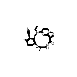 CCN1Cc2c(ccc(F)c2C#N)O[C@H](C)CNC(=O)c2cnn3ccc1nc23